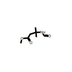 COC(=O)CC(C)(C)N[C]=O